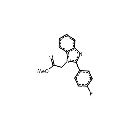 COC(=O)Cn1c(-c2ccc(F)cc2)nc2ccccc21